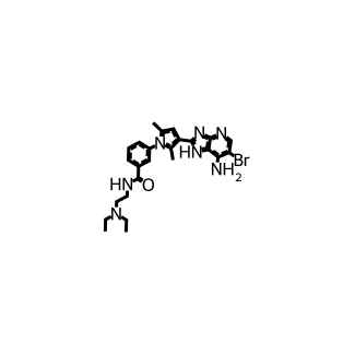 CCN(CC)CCNC(=O)c1cccc(-n2c(C)cc(-c3nc4ncc(Br)c(N)c4[nH]3)c2C)c1